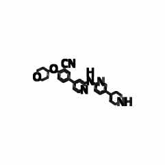 N#Cc1cc(-c2ccnc(Nc3ccc(C4=CCNCC4)cn3)c2)ccc1OC1CCOCC1